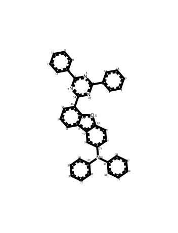 c1ccc(-c2nc(-c3ccccc3)nc(-c3cccc4c3oc3ccc(N(c5ccccc5)c5ccccc5)cc34)n2)cc1